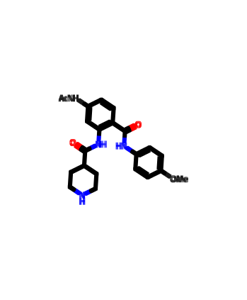 COc1ccc(NC(=O)c2ccc(NC(C)=O)cc2NC(=O)C2CCNCC2)cc1